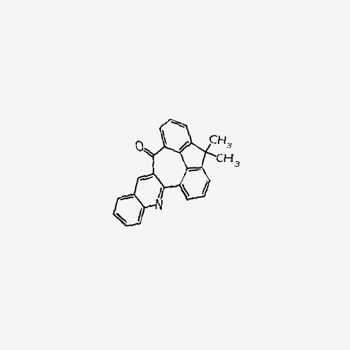 CC1(C)c2cccc3c(=O)c4cc5ccccc5nc4c4cccc1c4c23